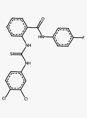 O=C(Nc1ccc(F)cc1)c1ccccc1NC(=S)Nc1ccc(Cl)c(Cl)c1